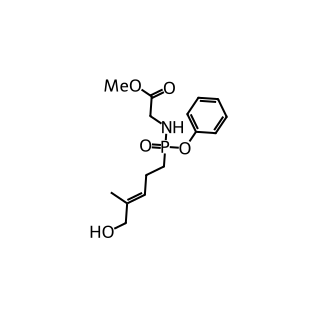 COC(=O)CNP(=O)(CC/C=C(\C)CO)Oc1ccccc1